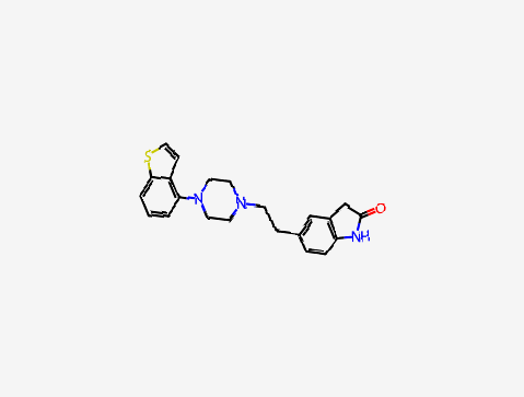 O=C1Cc2cc(CCN3CCN(c4cccc5sccc45)CC3)ccc2N1